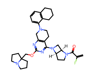 C=C(F)C(=O)N1CC[C@@H]2[C@H]1CN2c1nc(OCC23CCCN2CCC3)nc2c1CCN(c1cccc3c1CCCC3)C2